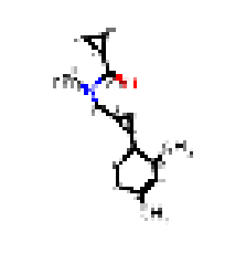 CCCN(CC1CC1C1CCC(C)=CC1C)C(=O)C1CC1